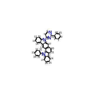 c1ccc(-c2nccc(-n3c4ccccc4c4cc5c(ccc6c7ccccc7n(-c7ccccc7)c56)cc43)n2)cc1